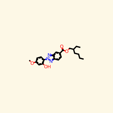 CCCCC(CC)COC(=O)c1ccc2nn(-c3ccc(OC)cc3O)nc2c1